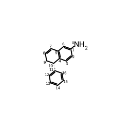 Nc1ccc2c(c1)C=CC[C@H]2c1ccccc1